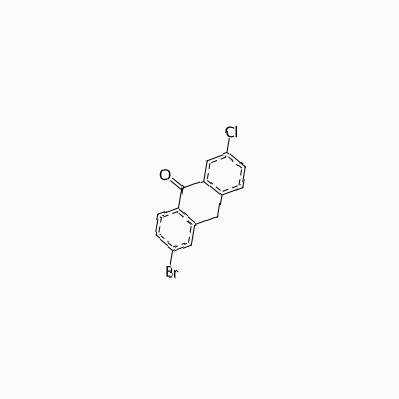 O=C1c2ccc(Br)cc2Cc2ccc(Cl)cc21